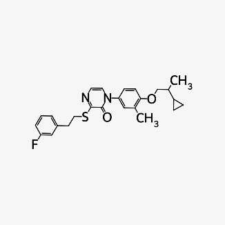 Cc1cc(-n2ccnc(SCCc3cccc(F)c3)c2=O)ccc1OCC(C)C1CC1